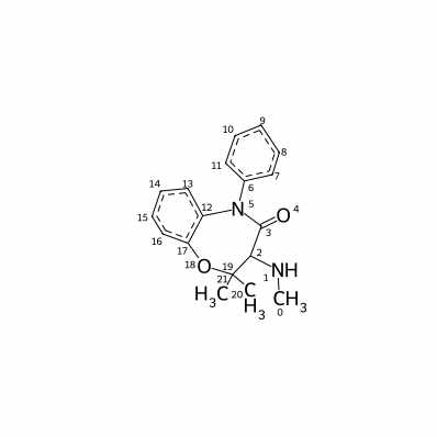 CNC1C(=O)N(c2ccccc2)c2ccccc2OC1(C)C